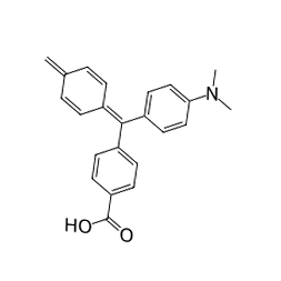 C=c1ccc(=C(c2ccc(C(=O)O)cc2)c2ccc(N(C)C)cc2)cc1